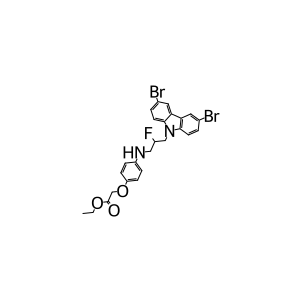 CCOC(=O)COc1ccc(NCC(F)Cn2c3ccc(Br)cc3c3cc(Br)ccc32)cc1